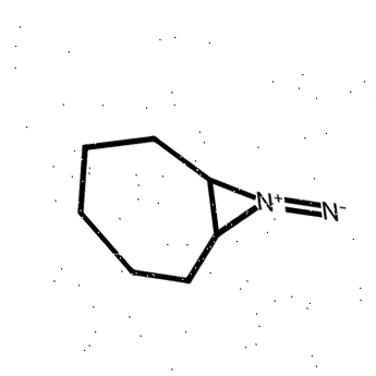 [N-]=[N+]1C2CCCCCC21